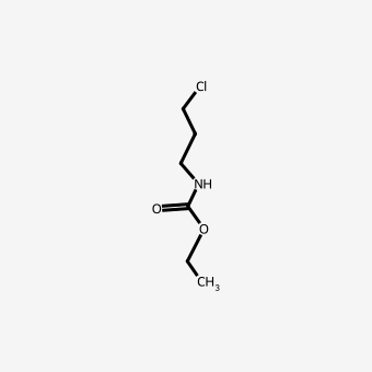 CCOC(=O)NCCCCl